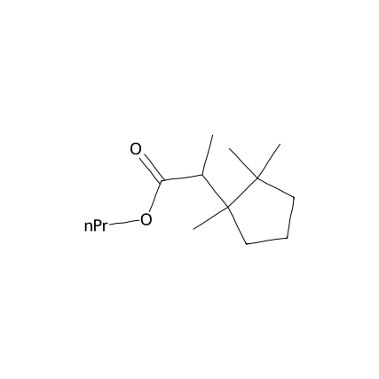 CCCOC(=O)C(C)C1(C)CCCC1(C)C